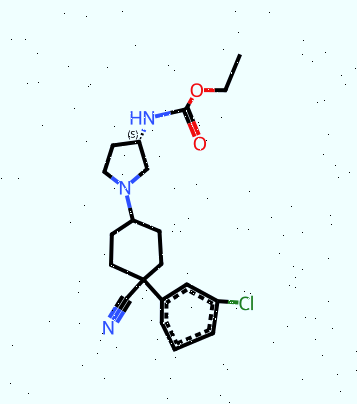 CCOC(=O)N[C@H]1CCN(C2CCC(C#N)(c3cccc(Cl)c3)CC2)C1